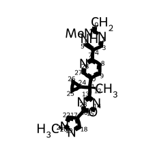 C=C(/N=C\C(=C/N)c1ccc([C@](C)(c2noc(-c3cnn(C)c3)n2)C2CC2)cn1)NC